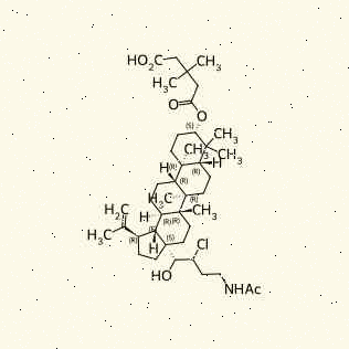 C=C(C)[C@@H]1CC[C@]2(C(O)C(Cl)CCNC(C)=O)CC[C@]3(C)[C@H](CC[C@@H]4[C@@]5(C)CC[C@H](OC(=O)CC(C)(C)CC(=O)O)C(C)(C)[C@@H]5CC[C@]43C)[C@@H]12